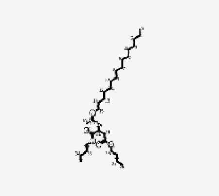 CCCCCCCCCCCCCCCCO[C@H](C)SC(CC(=O)OCCCC)C(=O)OCCCC